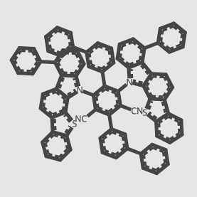 N#Cc1c(-c2cccc(-c3ccccc3)c2)c(C#N)c(-n2c3cccc(-c4ccccc4)c3c3ccc4c5ccccc5sc4c32)c(-c2cccc(-c3ccccc3)c2)c1-n1c2cccc(-c3ccccc3)c2c2ccc3c4ccccc4sc3c21